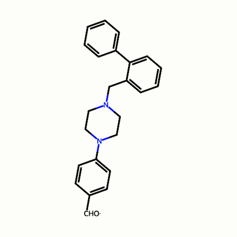 O=[C]c1ccc(N2CCN(Cc3ccccc3-c3ccccc3)CC2)cc1